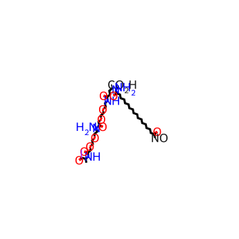 CC(NC(=O)COCCOCCN(N)C(=O)COCCOCCNC(=O)CC[C@@H](C(=O)O)N(N)C(=O)CCCCCCCCCCCCCCCCC(=O)N=O)C(=O)I